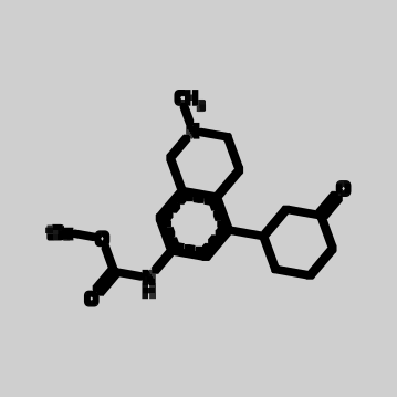 CN1CCc2c(cc(NC(=O)OC(C)(C)C)cc2C2CCCC(=O)C2)C1